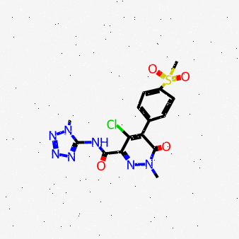 Cn1nnnc1NC(=O)c1nn(C)c(=O)c(-c2ccc(S(C)(=O)=O)cc2)c1Cl